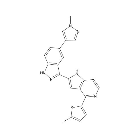 Cn1cc(-c2ccc3[nH]nc(-c4cc5c(-c6ccc(F)s6)nccc5[nH]4)c3c2)cn1